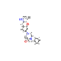 O=C(O)N[C@H]1COc2cc(N3CCN(Cc4ccccc4)C4(COC4)C3)ccc2C1